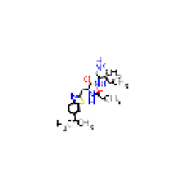 CCC(=O)NC(Cc1nc2ccc(C(C)C)cc2s1)C(=O)NC(CN)C(C)CC